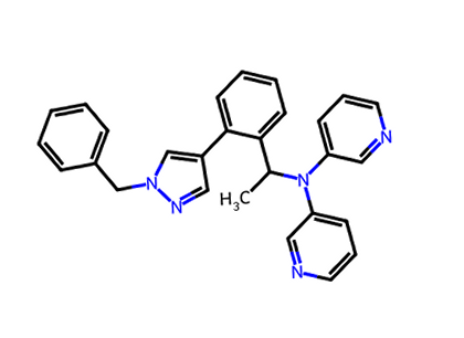 CC(c1ccccc1-c1cnn(Cc2ccccc2)c1)N(c1cccnc1)c1cccnc1